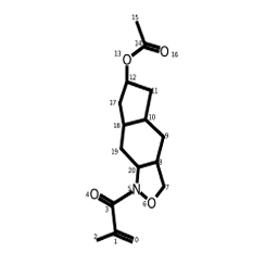 C=C(C)C(=O)N1OCC2CC3CC(OC(C)=O)CC3CC21